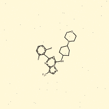 Fc1cccc(F)c1-c1nc(NC2CCC(N3CCOCC3)CC2)n2ncc(C(F)(F)F)c2n1